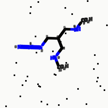 [N-]=[N+]=NCC(CNC(=O)O)CNC(=O)O